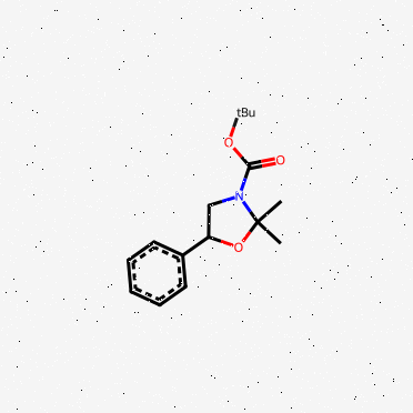 CC(C)(C)OC(=O)N1CC(c2ccccc2)OC1(C)C